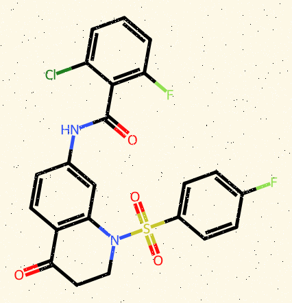 O=C1CCN(S(=O)(=O)c2ccc(F)cc2)c2cc(NC(=O)c3c(F)cccc3Cl)ccc21